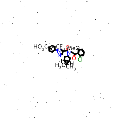 COc1cccc(Cl)c1C(=O)CN(C(=O)c1cnn(C23CCC(C(=O)O)(CC2)CC3)c1C(F)(F)F)C1C[C@@H]2[C@H](C1)C2(C)C